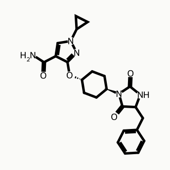 NC(=O)c1cn(C2CC2)nc1O[C@H]1CC[C@H](N2C(=O)NC(Cc3ccccc3)C2=O)CC1